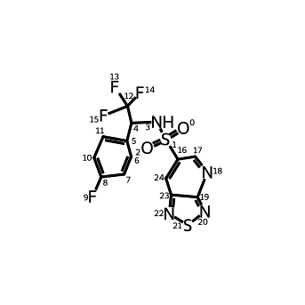 O=S(=O)(NC(c1ccc(F)cc1)C(F)(F)F)c1cnc2nsnc2c1